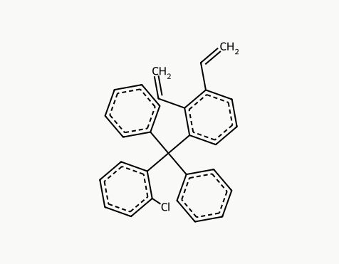 C=Cc1cccc(C(c2ccccc2)(c2ccccc2)c2ccccc2Cl)c1C=C